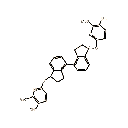 COc1nc(OC2CCc3c(-c4cccc5c4CC[C@@H]5Oc4ccc(C=O)c(OC)n4)cccc32)ccc1C=O